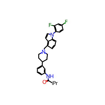 CC(C)C(=O)Nc1cccc(C2CCN(Cc3cccc4c3ccn4-c3ccc(F)cc3F)CC2)c1